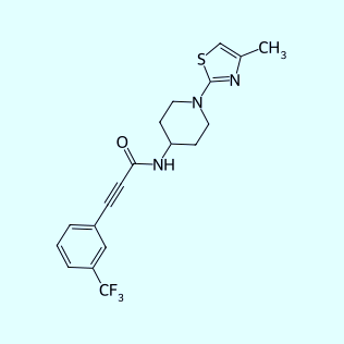 Cc1csc(N2CCC(NC(=O)C#Cc3cccc(C(F)(F)F)c3)CC2)n1